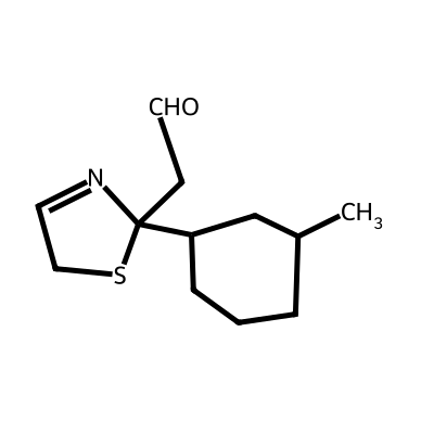 CC1CCCC(C2(CC=O)N=CCS2)C1